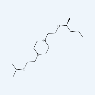 CCC[C@H](C)OCCN1CCN(CCOC(C)C)CC1